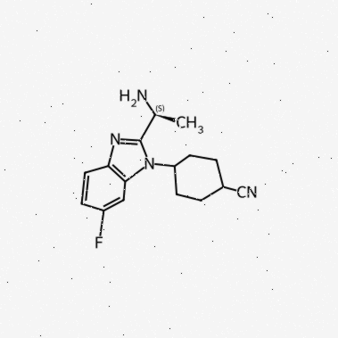 C[C@H](N)c1nc2ccc(F)cc2n1C1CCC(C#N)CC1